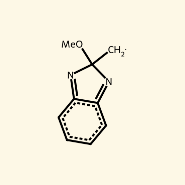 [CH2]C1(OC)N=c2ccccc2=N1